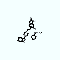 O=C1Cc2cc(CCN3CCN(c4nsc5ccccc45)CC3)c(Cl)cc2N1.O=S(=O)(O)NC1CCCCC1